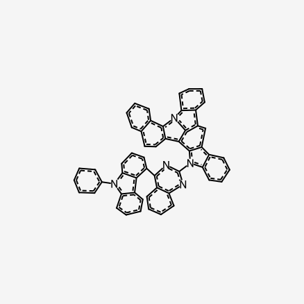 c1ccc(-n2c3ccccc3c3c(-c4nc(-n5c6ccccc6c6cc7c8ccccc8n8c9c%10ccccc%10ccc9c(c65)c78)nc5ccccc45)cccc32)cc1